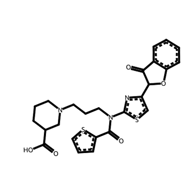 O=C(O)C1CCCN(CCCN(C(=O)c2cccs2)c2nc(C3Oc4ccccc4C3=O)cs2)C1